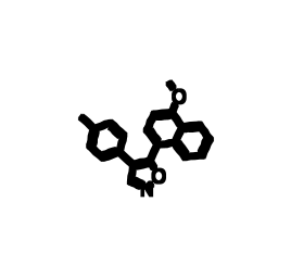 COc1ccc(-c2oncc2-c2ccc(C)cc2)c2ccccc12